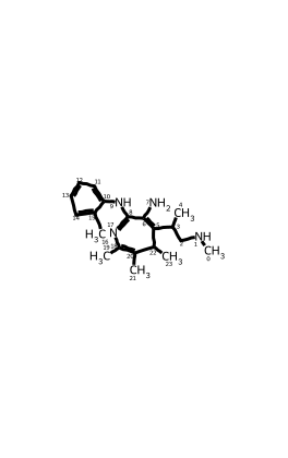 CNCC(C)C1=C(N)C(Nc2ccccc2C)=NC(C)=C(C)C1C